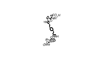 COC(=O)N[C@H](C(=O)N1CCC[C@H]1c1nc(C=Cc2ccc(C=Cc3c[nH]c([C@@H]4CCCN4C(=O)[C@H](C(C)C)N(C)C(=O)O)n3)cc2)c[nH]1)C(C)C